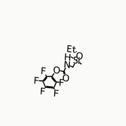 CCO[Si](C)(C)CNC(=O)Oc1c(F)c(F)c(F)c(F)c1F